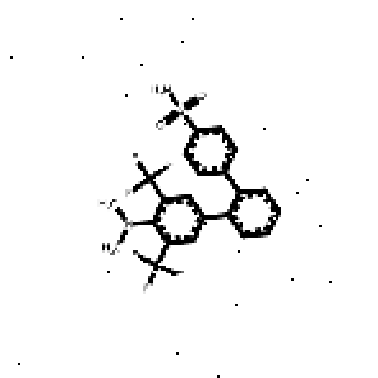 CN(C)c1c(C(F)(F)F)cc(-c2ccccc2-c2ccc(S(N)(=O)=O)cc2)cc1C(F)(F)F